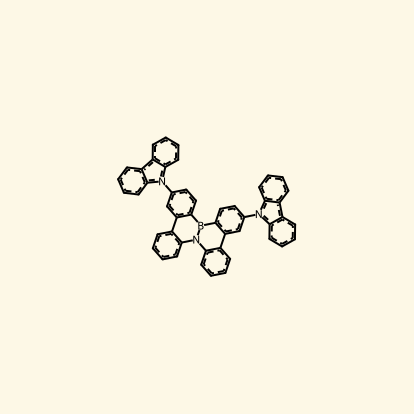 c1ccc2c(c1)-c1cc(-n3c4ccccc4c4ccccc43)ccc1B1c3ccc(-n4c5ccccc5c5ccccc54)cc3-c3ccccc3N12